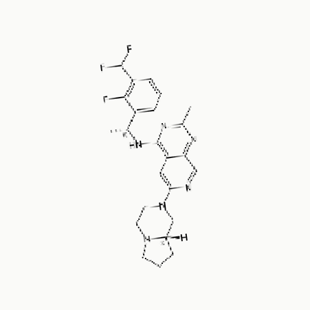 Cc1nc(N[C@H](C)c2cccc(C(F)F)c2F)c2cc(N3CCN4CCC[C@H]4C3)ncc2n1